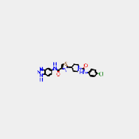 O=C(Nc1ccc2[nH]nnc2c1)c1csc(C2CCN(C(=O)Nc3ccc(Cl)cc3)CC2)n1